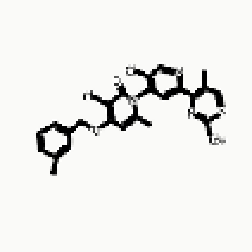 Cc1cccc(COc2cc(C)n(-c3cc(-c4nc(C(C)(C)C)ncc4C)ncc3Cl)c(=O)c2Cl)c1